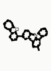 Cc1cc2c3ccccc3n3c4ccc(-c5cccc6c5oc5ccccc56)cc4c(c1)c23